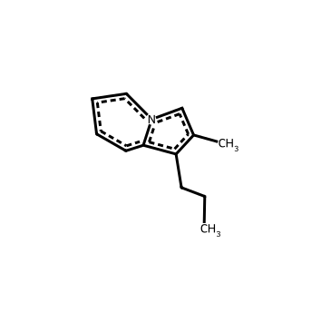 CCCc1c(C)cn2ccccc12